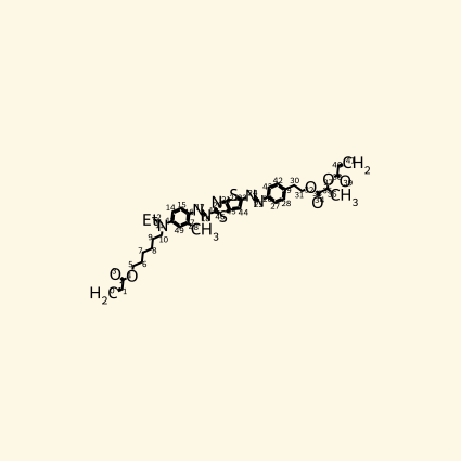 C=CC(=O)OCCCCCCN(CC)c1ccc(/N=N/c2nc3sc(/N=N/c4ccc(CCOC(=O)C(C)OC(=O)C=C)cc4)cc3s2)c(C)c1